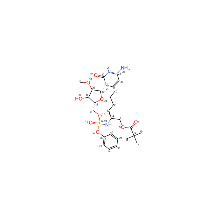 CCCC[C@@H](COC(=O)C(C)(C)C)NP(=O)(OC[C@H]1O[C@@H](n2ccc(N)nc2=O)C(OC)C1O)Oc1ccccc1